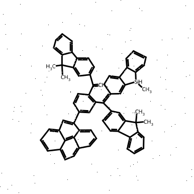 C=C(c1ccc2c(c1)C(C)(C)c1ccccc1-2)c1ccc(-c2cc3cccc4ccc5cccc2c5c43)cc1/C(=C1/C=C2C(=CC1)c1ccccc1[SiH]2C)c1ccc2c(c1)C(C)(C)c1ccccc1-2